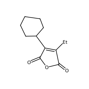 CCC1=C(C2CCCCC2)C(=O)OC1=O